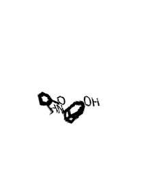 O=C(NC1C2CC3CC1CC(O)(C3)C2)c1ccccc1